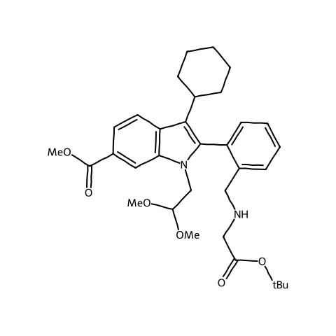 COC(=O)c1ccc2c(C3CCCCC3)c(-c3ccccc3CNCC(=O)OC(C)(C)C)n(CC(OC)OC)c2c1